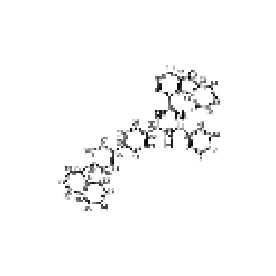 c1ccc(C2=NC(c3cccc4oc5cnccc5c34)=NC(c3ccc(-c4ccc5c(c4)-c4cccc6cccc-5c46)cc3)N2)cc1